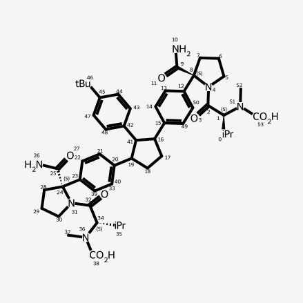 CC(C)[C@@H](C(=O)N1CCC[C@@]1(C(N)=O)c1ccc(C2CCC(c3ccc([C@]4(C(N)=O)CCCN4C(=O)[C@H](C(C)C)N(C)C(=O)O)cc3)C2c2ccc(C(C)(C)C)cc2)cc1)N(C)C(=O)O